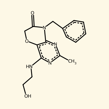 Cc1nc(NCCO)c2c(n1)N(Cc1ccccc1)C(=O)CO2